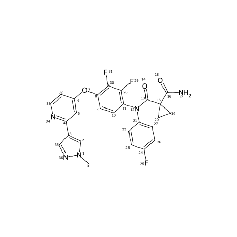 Cn1cc(-c2cc(Oc3ccc(N(C(=O)C4(C(N)=O)CC4)c4ccc(F)cc4)c(F)c3F)ccn2)cn1